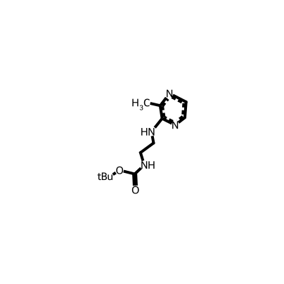 Cc1nccnc1NCCNC(=O)OC(C)(C)C